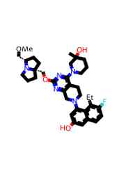 CCc1c(F)ccc2cc(O)cc(N3CCc4c(nc(OC[C@]56CCCN5[C@H](COC)CC6)nc4N4CCCC(C)(O)C4)C3)c12